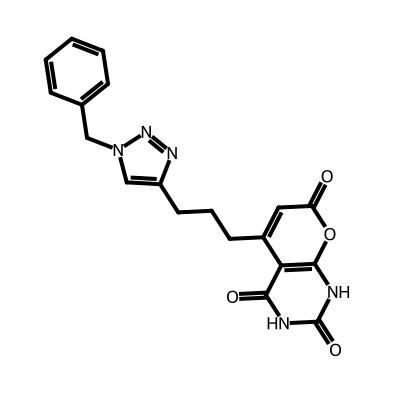 O=c1[nH]c(=O)c2c(CCCc3cn(Cc4ccccc4)nn3)cc(=O)oc2[nH]1